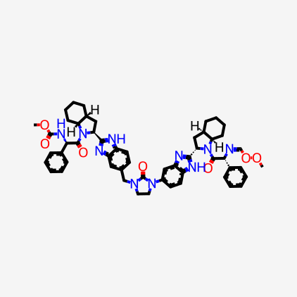 COO/C=N\[C@@H](C(=O)N1[C@@H]2CCCC[C@@H]2C[C@H]1c1nc2cc(N3CCN(Cc4ccc5[nH]c([C@@H]6C[C@H]7CCCC[C@H]7N6C(=O)[C@H](NC(=O)OC)c6ccccc6)nc5c4)C3=O)ccc2[nH]1)c1ccccc1